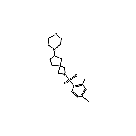 Cc1ccc(S(=O)(=O)N2CC3(CCC(N4CCOCC4)C3)C2)c(C)c1